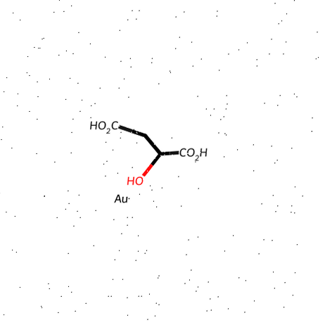 O=C(O)CC(O)C(=O)O.[Au]